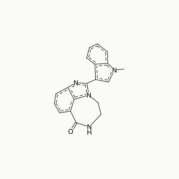 Cn1cc(-c2nc3cccc4c3n2CCNC4=O)c2ccccc21